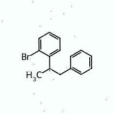 C[C](Cc1ccccc1)c1ccccc1Br